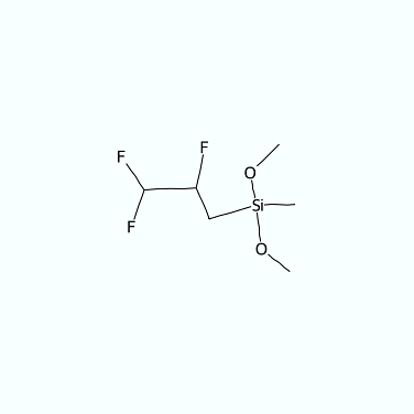 CO[Si](C)(CC(F)C(F)F)OC